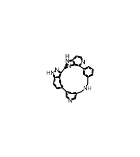 c1cc2cc(c1)-c1nccc3[nH]c(nc13)-c1n[nH]c3ccc(cc13)-c1cncc(c1)CNC2